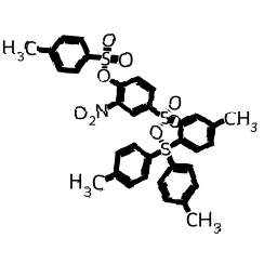 Cc1ccc(S(OS(=O)(=O)c2ccc(OS(=O)(=O)c3ccc(C)cc3)c([N+](=O)[O-])c2)(c2ccc(C)cc2)c2ccc(C)cc2)cc1